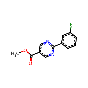 COC(=O)c1cnc(-c2cccc(F)c2)nc1